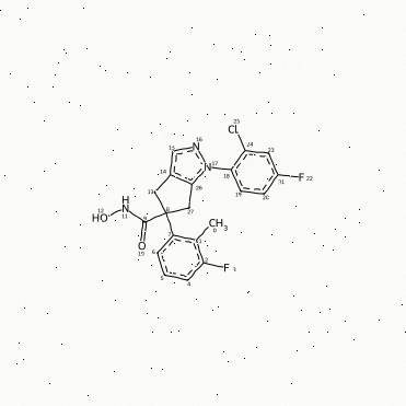 Cc1c(F)cccc1C1(C(=O)NO)Cc2cnn(-c3ccc(F)cc3Cl)c2C1